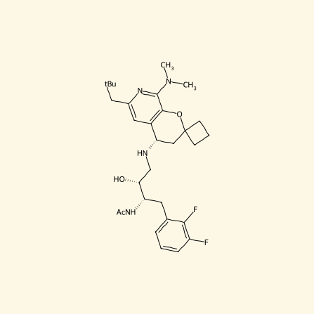 CC(=O)N[C@@H](Cc1cccc(F)c1F)[C@H](O)CN[C@H]1CC2(CCC2)Oc2c1cc(CC(C)(C)C)nc2N(C)C